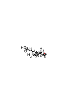 NC(=O)[C@H](CCCCNC(=O)O)NC(=O)[C@@H](N)CC12CC(C1)C2